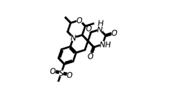 CC1CN2c3ccc(S(C)(=O)=O)cc3CC3(C(=O)NC(=O)NC3=O)C2C(C)O1